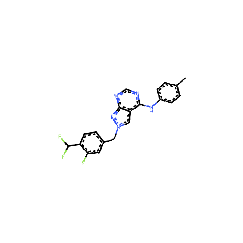 Cc1ccc(Nc2ncnc3nn(Cc4ccc(C(F)F)c(F)c4)cc23)cc1